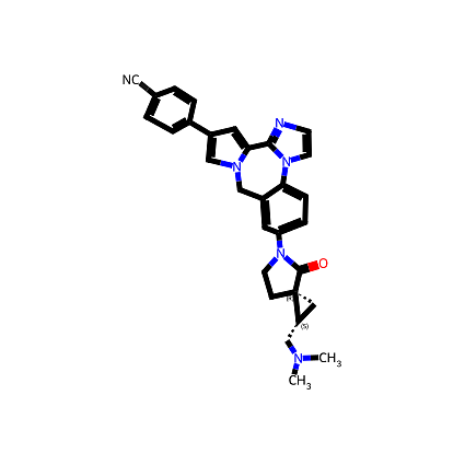 CN(C)C[C@H]1C[C@@]12CCN(c1ccc3c(c1)Cn1cc(-c4ccc(C#N)cc4)cc1-c1nccn1-3)C2=O